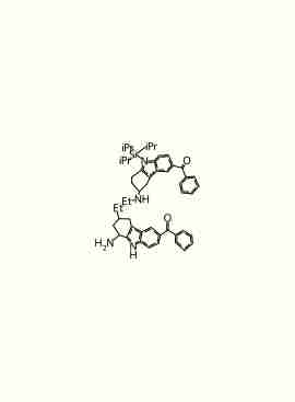 CCC1Cc2c([nH]c3ccc(C(=O)c4ccccc4)cc23)C(N)C1.CCNC1CCc2c(c3cc(C(=O)c4ccccc4)ccc3n2[Si](C(C)C)(C(C)C)C(C)C)C1